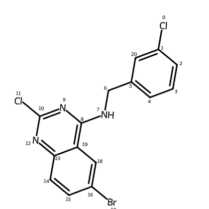 Clc1cccc(CNc2nc(Cl)nc3ccc(Br)cc23)c1